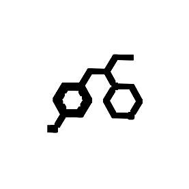 CCC(Cc1ccc(S)cc1)N1CCOCC1